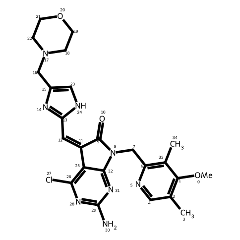 COc1c(C)cnc(CN2C(=O)/C(=C\c3nc(CN4CCOCC4)c[nH]3)c3c(Cl)nc(N)nc32)c1C